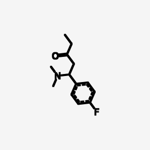 CCC(=O)CC(c1ccc(F)cc1)N(C)C